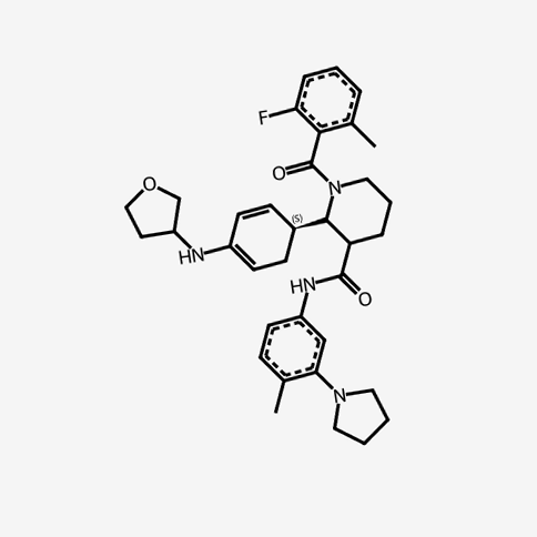 Cc1ccc(NC(=O)C2CCCN(C(=O)c3c(C)cccc3F)C2[C@@H]2C=CC(NC3CCOC3)=CC2)cc1N1CCCC1